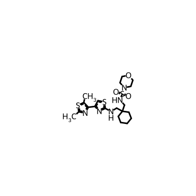 Cc1nc(-c2csc(NCC3(CNS(=O)(=O)N4CCOCC4)CCCCC3)n2)c(C)s1